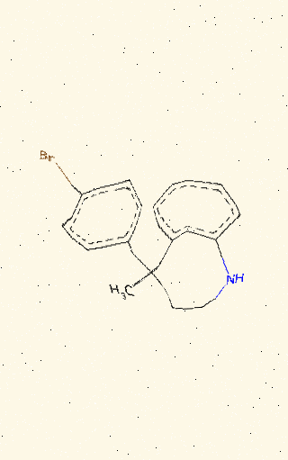 CC1(c2ccc(Br)cc2)CCNc2ccccc21